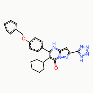 O=c1c(C2CCCCC2)c(-c2ccc(OCc3ccccc3)cc2)[nH]c2cc(-c3nnn[nH]3)nn12